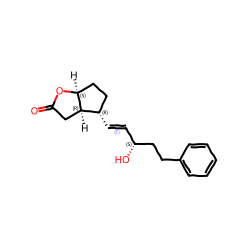 O=C1C[C@H]2[C@H](CC[C@@H]2/C=C/[C@@H](O)CCc2ccccc2)O1